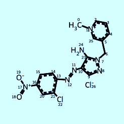 C[n+]1cccc(Cn2ncc(/N=N/c3ccc([N+](=O)[O-])cc3Cl)c2N)c1.[Cl-]